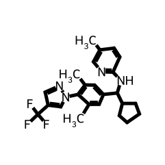 Cc1ccc(NC(c2cc(C)c(-n3cc(C(F)(F)F)cn3)c(C)c2)C2CCCC2)nc1